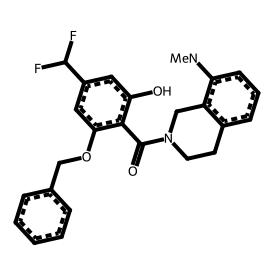 CNc1cccc2c1CN(C(=O)c1c(O)cc(C(F)F)cc1OCc1ccccc1)CC2